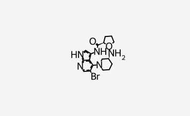 N[C@@H]1CCCN(c2c(Br)cnc3[nH]cc(NC(=O)[C@H]4CCCO4)c23)C1